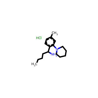 CCCCC(N)c1ccc(C)cc1N1CCCCC1.Cl